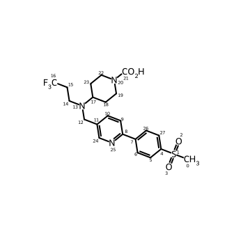 CS(=O)(=O)c1ccc(-c2ccc(CN(CCC(F)(F)F)C3CCN(C(=O)O)CC3)cn2)cc1